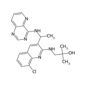 CC(Nc1ncnc2cccnc12)c1cc2cccc(Cl)c2nc1NCC(C)(C)O